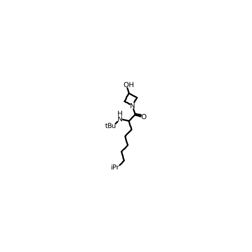 CC(C)CCCCCC(NC(C)(C)C)C(=O)N1CC(O)C1